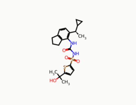 C[C@@H](c1ccc2c(c1NC(=O)NS(=O)(=O)c1ccc(C(C)(C)O)s1)CCC2)C1CC1